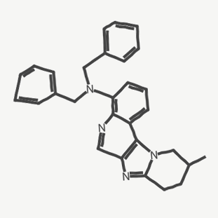 CC1CCc2nc3cnc4c(N(Cc5ccccc5)Cc5ccccc5)cccc4c3n2C1